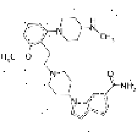 CNC1CCN(c2cccc(OC)c2CCN2CCC(n3ccc4ccc(C(N)=O)cc43)CC2)CC1